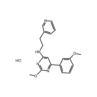 COc1cccc(-c2cc(NCCc3cccnc3)nc(OC)n2)c1.Cl